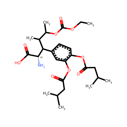 CCOC(=O)OC(C)C(C)C(c1ccc(OC(=O)CC(C)C)c(OC(=O)CC(C)C)c1)[C@H](N)C(=O)O